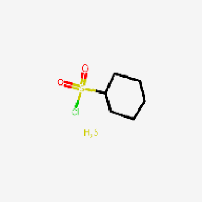 O=S(=O)(Cl)C1CCCCC1.S